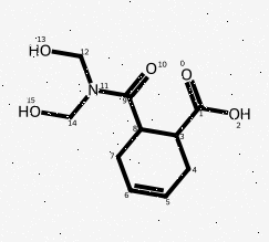 O=C(O)C1CC=CCC1C(=O)N(CO)CO